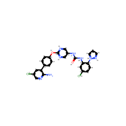 Nc1ncc(Cl)cc1-c1ccc(Oc2ncc(NC(=O)Nc3cc(Cl)ccc3-n3cccn3)cn2)cc1